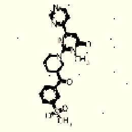 Cn1c(N2CCCC(C(=O)c3cccc(S(C)(=O)=O)c3)C2)nc(-c2ccncn2)cc1=O